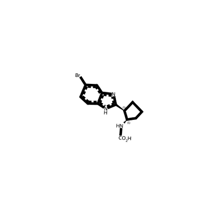 O=C(O)N[C@H]1CCC[C@@H]1c1nc2cc(Br)ccc2[nH]1